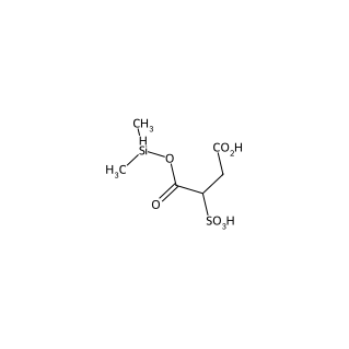 C[SiH](C)OC(=O)C(CC(=O)O)S(=O)(=O)O